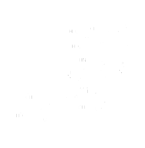 COc1cc(C(=O)C(C)C)ccc1NC(=O)C1NC(CC(C)(C)C)C(C#N)(c2ccc(Cl)cc2F)C1c1cccc(Cl)c1F